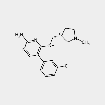 CN1CC[C@@H](CNc2nc(N)ncc2-c2cccc(Cl)c2)C1